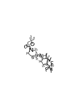 CC(C)(C)OC(=O)N1CC2CC(Nc3ccc(C(F)(F)F)nc3)C1C2